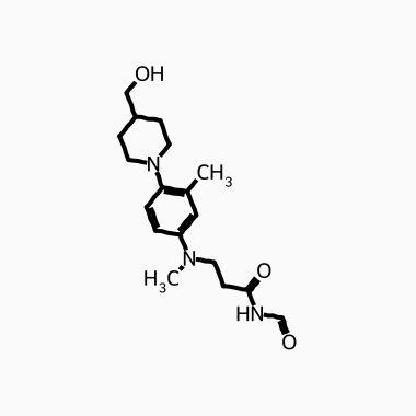 Cc1cc(N(C)CCC(=O)NC=O)ccc1N1CCC(CO)CC1